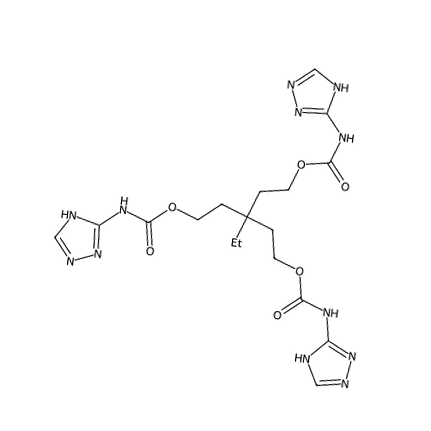 CCC(CCOC(=O)Nc1nnc[nH]1)(CCOC(=O)Nc1nnc[nH]1)CCOC(=O)Nc1nnc[nH]1